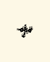 CCOC(=O)C1=C(C)N(c2cccc(C(F)(F)F)c2)C(=O)N(CCC2OCCO2)[C@@H]1c1ccc(C#N)cc1